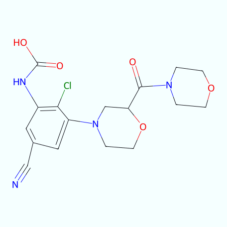 N#Cc1cc(NC(=O)O)c(Cl)c(N2CCOC(C(=O)N3CCOCC3)C2)c1